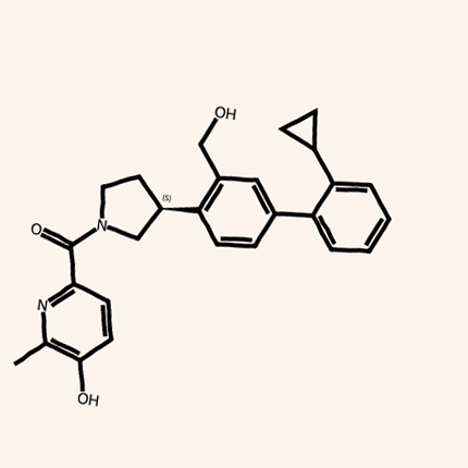 Cc1nc(C(=O)N2CC[C@@H](c3ccc(-c4ccccc4C4CC4)cc3CO)C2)ccc1O